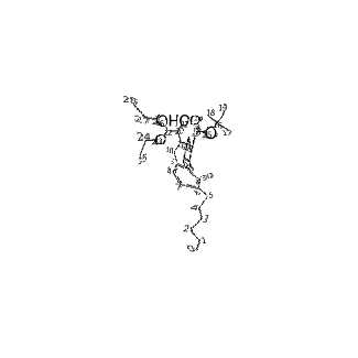 CCCCCCc1ccc(CC(NC(=O)OC(C)(C)C)C(O)C(OCC)OCC)cc1